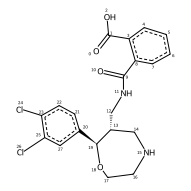 O=C(O)c1ccccc1C(=O)NC[C@@H]1CNCCO[C@H]1c1ccc(Cl)c(Cl)c1